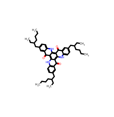 CCCCC(CC)Cc1ccc2[nH]c3c4c(=O)c5cc(CC(CC)CCCC)ccc5[nH]c4c4c(=O)c5cc(CC(CC)CCCC)ccc5[nH]c4c3c(=O)c2c1